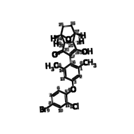 Cc1cc(Oc2ccc(Br)cc2Cl)cc(C)c1C1=C(O)[C@H]2[C@@H](C1=O)[C@@H]1CC[C@H]2O1